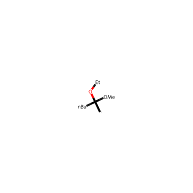 [CH2]C(CCCC)(OC)OCC